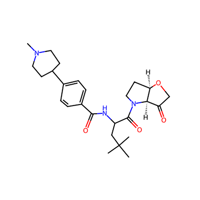 CN1CCC(c2ccc(C(=O)NC(CC(C)(C)C)C(=O)N3CC[C@H]4OCC(=O)[C@H]43)cc2)CC1